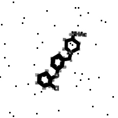 CC(=O)NC1CCN(Cc2cccc(Oc3ccccc3Cl)c2)CC1